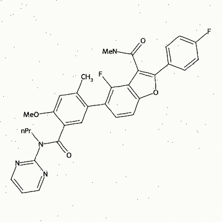 CCCN(C(=O)c1cc(-c2ccc3oc(-c4ccc(F)cc4)c(C(=O)NC)c3c2F)c(C)cc1OC)c1ncccn1